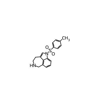 Cc1ccc(S(=O)(=O)n2cc3c4c(cccc42)CNCC3)cc1